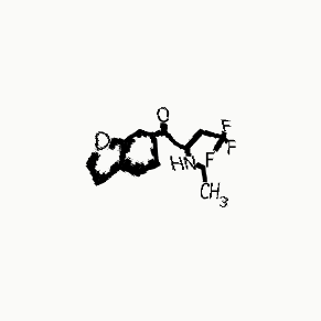 CCNC(CC(F)(F)F)C(=O)c1ccc2ccoc2c1